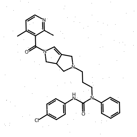 Cc1ccnc(C)c1C(=O)N1C=C2CN(CCCN(C(=O)Nc3ccc(Cl)cc3)c3ccccc3)CC2C1